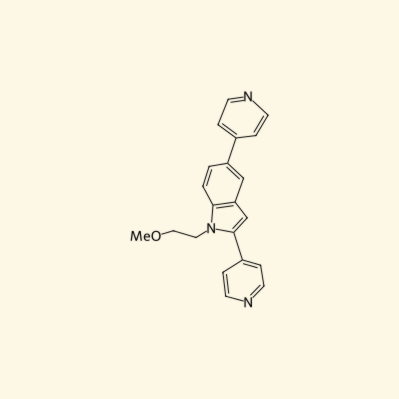 COCCn1c(-c2ccncc2)cc2cc(-c3ccncc3)ccc21